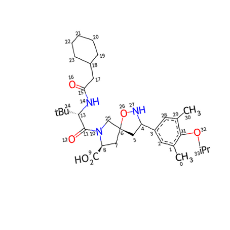 Cc1cc(C2C[C@]3(C[C@@H](C(=O)O)N(C(=O)[C@@H](NC(=O)CC4CCCCC4)C(C)(C)C)C3)ON2)cc(C)c1OC(C)C